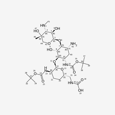 CN[C@@H]1[C@@H](O)[C@@H](O[C@@H]2[C@@H](O)[C@H](O[C@H]3O[C@H](CNC(=O)O)CC[C@H]3NC(=O)OC(C)(C)C)[C@@H](NC(=O)OC(C)(C)C)C[C@H]2N)OC[C@]1(C)O